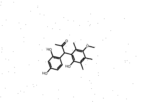 COc1c(C)c(C)c(O)c(C(C(C)=O)c2ccc(O)cc2O)c1C